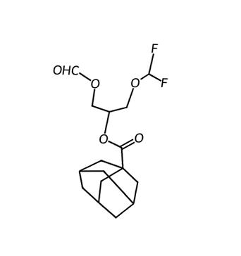 O=COCC(COC(F)F)OC(=O)C12CC3CC(CC(C3)C1)C2